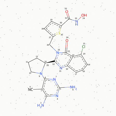 N#Cc1c(N)nc(N)nc1N1CCC[C@H]1c1nc2cccc(Cl)c2c(=O)n1Cc1ccc(C(=O)NO)s1